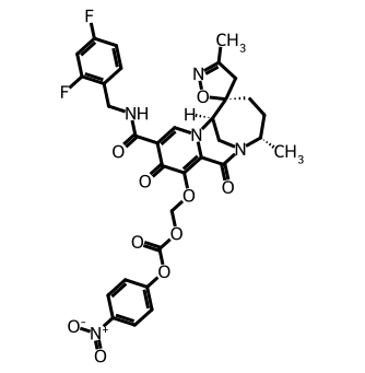 CC1=NO[C@@]2(CC[C@H](C)N3C[C@H]2n2cc(C(=O)NCc4ccc(F)cc4F)c(=O)c(OCOC(=O)Oc4ccc([N+](=O)[O-])cc4)c2C3=O)C1